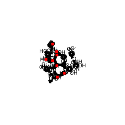 Cc1cc2ccc1Oc1cc3cc(c1O[C@@H]1O[C@H](CO)[C@@H](O)[C@H](O)[C@H]1O[C@H]1C[C@](C)(NC(=O)OCc4ccc([N+](=O)[O-])cc4)[C@H](O)[C@H](C)O1)Oc1ccc(cc1Cl)[C@@H](O)[C@@H]1NC(=O)[C@H](NC(=O)[C@@H]3NC(=O)[C@H](CC(N)=O)NC(=O)[C@H](NC(=O)[C@@H](CC(C)C)N(C)C(=O)OCc3ccc([N+](=O)[O-])cc3)[C@@H]2O)c2ccc(O)c(c2)-c2c(O)cc(O)cc2[C@@H](C(=O)NC2C3CC4CC(C3)CC2C4)NC1=O